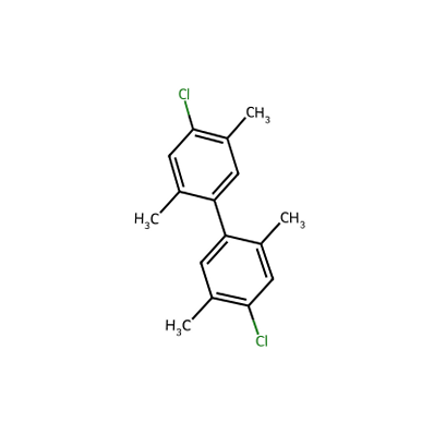 Cc1cc(-c2cc(C)c(Cl)cc2C)c(C)cc1Cl